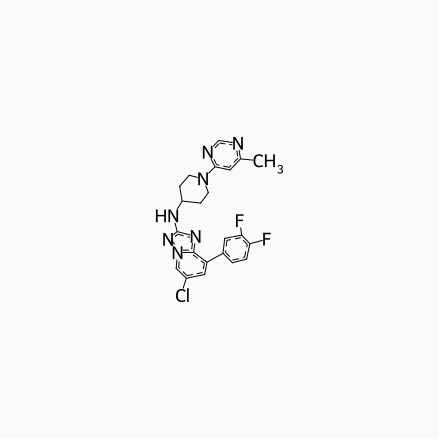 Cc1cc(N2CCC(Nc3nc4c(-c5ccc(F)c(F)c5)cc(Cl)cn4n3)CC2)ncn1